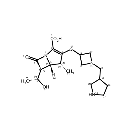 C[C@@H](O)[C@H]1C(=O)N2C(C(=O)O)=C(SC3CN(CC4CCNC4)C3)[C@H](C)[C@H]12